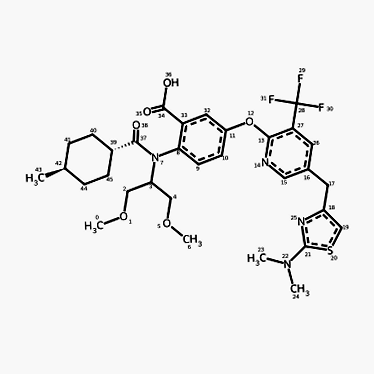 COCC(COC)N(c1ccc(Oc2ncc(Cc3csc(N(C)C)n3)cc2C(F)(F)F)cc1C(=O)O)C(=O)[C@H]1CC[C@H](C)CC1